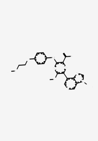 CNc1nc(Nc2ccc(OCCOC)cc2)c(C(N)=O)nc1-c1cncc2c1ncn2C